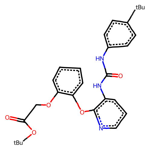 CC(C)(C)OC(=O)COc1ccccc1Oc1ncccc1NC(=O)Nc1ccc(C(C)(C)C)cc1